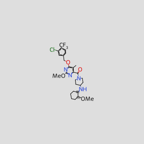 COc1nc(OCc2ccc(C(F)(F)F)c(Cl)c2)c(C)c(C(=O)N2CCC(N[C@@H]3CCCC[C@@H]3OC)CC2)n1